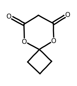 O=C1CC(=O)OC2(CCC2)O1